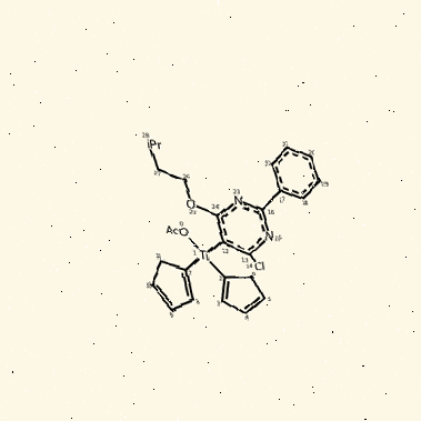 CC(=O)[O][Ti]([C]1=CC=CC1)([C]1=CC=CC1)[c]1c(Cl)nc(-c2ccccc2)nc1OCCC(C)C